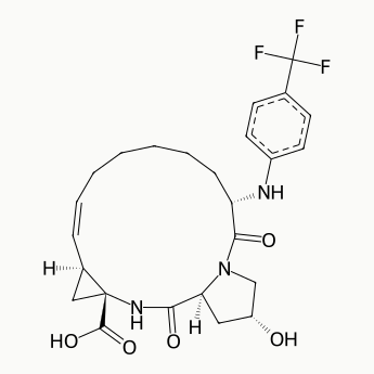 O=C1N[C@]2(C(=O)O)C[C@H]2/C=C\CCCCC[C@H](Nc2ccc(C(F)(F)F)cc2)C(=O)N2C[C@H](O)C[C@@H]12